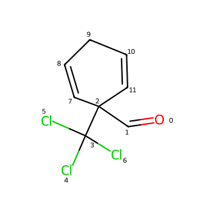 O=CC1(C(Cl)(Cl)Cl)C=CCC=C1